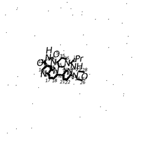 CC(C)C(=N)N1CCC(n2c(=O)[nH]c(=O)c3cnc4ccc(-c5ccc(N6CCOCC6)nc5)nc4c32)CC1